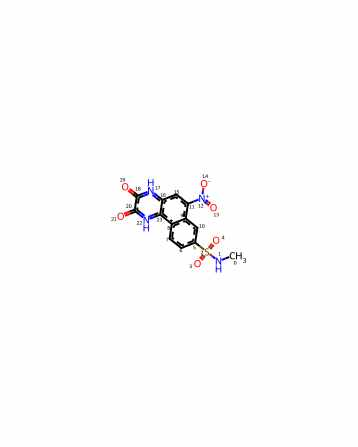 CNS(=O)(=O)c1ccc2c(c1)c([N+](=O)[O-])cc1[nH]c(=O)c(=O)[nH]c12